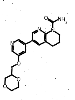 NC(=O)N1CCCc2cc(-c3cncc(OCC4COCCO4)c3)cnc21